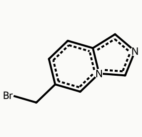 BrCc1ccc2cncn2c1